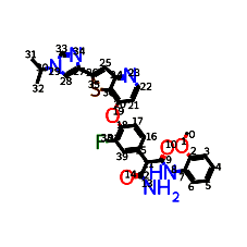 COc1ccccc1NC(=O)C(C(N)=O)c1ccc(Oc2ccnc3cc(-c4cn(C(C)C)cn4)sc23)c(F)c1